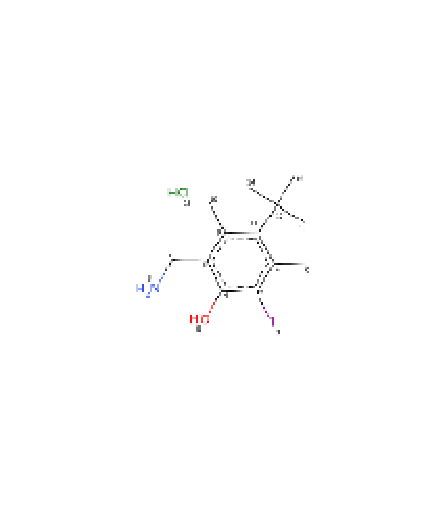 Cc1c(I)c(O)c(CN)c(C)c1C(C)(C)C.Cl